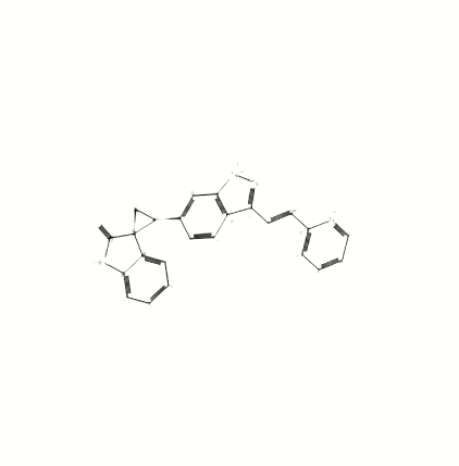 O=C1Nc2ccccc2[C@]12C[C@H]2c1ccc2c(/C=C/c3ccccn3)n[nH]c2c1